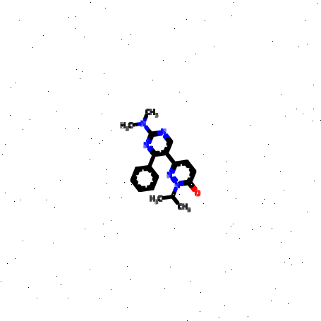 CC(C)n1nc(-c2cnc(N(C)C)nc2-c2ccccc2)ccc1=O